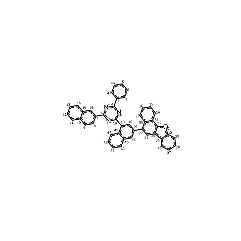 c1ccc(-c2nc(-c3ccc4ccccc4c3)nc(-c3cc(-c4cc5c6ccccc6oc5c5ccccc45)cc4ccccc34)n2)cc1